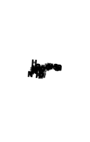 COOSCCN1CCC(c2ccc(NC(=O)c3nc(C#N)c[nH]3)c(C3=CCCCC3)c2)CC1